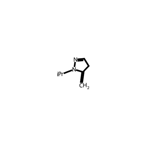 C=C1CC=NN1C(C)C